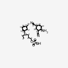 CCN(CCCOS(=O)(=O)O)c1cccc(C)c1.N#Cc1ccc(N)c(C#N)c1